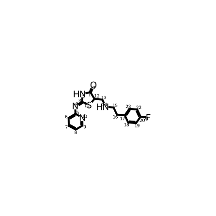 O=C1NC(=Nc2ccccn2)SC1CNCCc1ccc(F)cc1